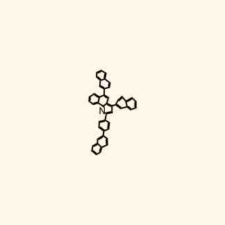 c1ccc2cc(-c3ccc(-c4cc(-c5ccc6ccccc6c5)c5cc(-c6ccc7ccccc7c6)c6ccccc6c5n4)cc3)ccc2c1